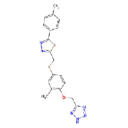 Cc1cc(SCc2nnc(-c3ccc(C(F)(F)F)cc3)s2)ccc1OCc1nn[nH]n1